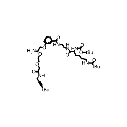 CC(C)(C)C#CCNC(=O)COCCOC(N)COc1cccc(C(=O)NCCNC(=O)C(CCCCNC(=O)C(C)(C)C)NC(=O)OC(C)(C)C)c1